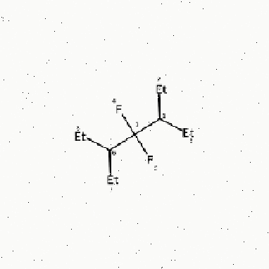 CCC(CC)C(F)(F)C(CC)CC